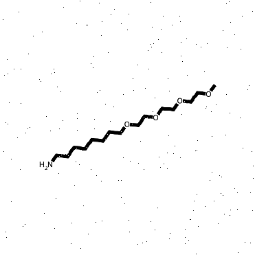 COCCOCCOCCOCCCCCCCCN